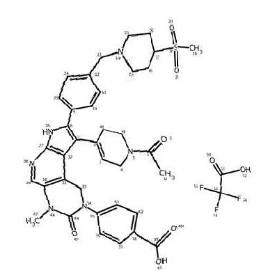 CC(=O)N1CC=C(c2c(-c3ccc(CN4CCC(S(C)(=O)=O)CC4)cc3)[nH]c3ncc4c(c23)CN(c2ccc(C(=O)O)cc2)C(=O)N4C)CC1.O=C(O)C(F)(F)F